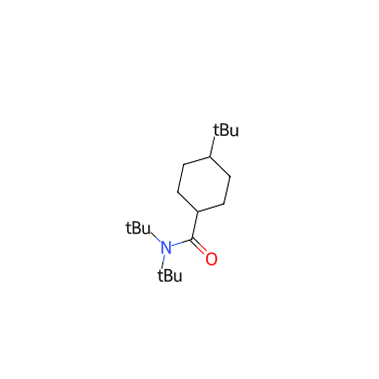 CC(C)(C)C1CCC(C(=O)N(C(C)(C)C)C(C)(C)C)CC1